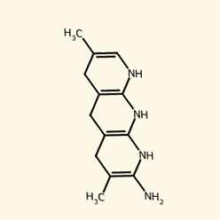 CC1=CNC2=C(C1)CC1=C(NC(N)=C(C)C1)N2